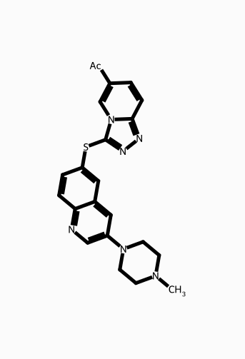 CC(=O)c1ccc2nnc(Sc3ccc4ncc(N5CCN(C)CC5)cc4c3)n2c1